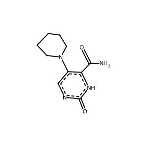 NC(=O)c1[nH]c(=O)ncc1N1CCCCC1